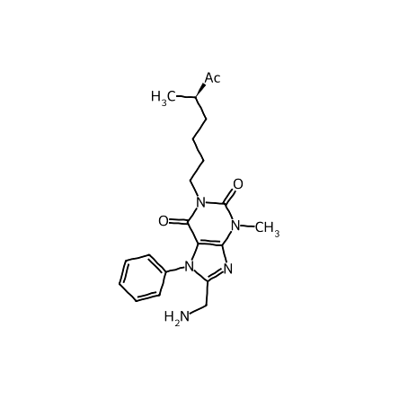 CC(=O)[C@H](C)CCCCn1c(=O)c2c(nc(CN)n2-c2ccccc2)n(C)c1=O